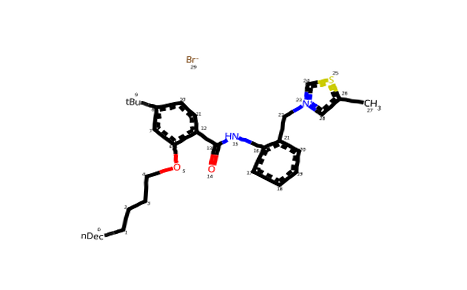 CCCCCCCCCCCCCCOc1cc(C(C)(C)C)ccc1C(=O)Nc1ccccc1C[n+]1csc(C)c1.[Br-]